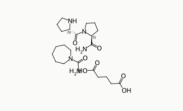 NC(=O)N1CCCCCC1.NC(=O)[C@@H]1CCCN1C(=O)[C@@H]1CCCN1.O=C(O)CCCC(=O)O